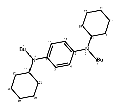 CCC(C)N(c1ccc(N(C(C)CC)C2CCCCC2)cc1)C1CCCCC1